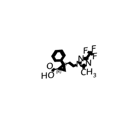 Cc1nc(C(F)(F)F)nn1CC[C@@]1(C2C=CC=CC2)C[C@H]1C(=O)O